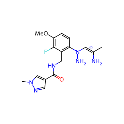 COc1ccc(N(N)/C=C(/C)N)c(CNC(=O)c2cnn(C)c2)c1F